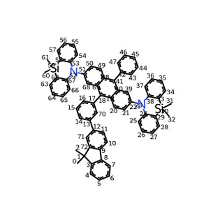 CC1(C)c2ccccc2-c2ccc(-c3cccc(-c4c5ccc(N6c7ccccc7[Si](C)(C)c7ccccc76)cc5c(-c5ccccc5)c5ccc(N6c7ccccc7[Si](C)(C)c7ccccc76)cc45)c3)cc21